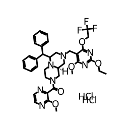 CCOc1nc(OC)c(CN2CC(C(c3ccccc3)c3ccccc3)N3CCN(C(=O)c4nccnc4OC)C[C@@H]3C2)c(OCC(F)(F)F)n1.Cl.Cl